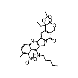 CCCCCNc1c2c(nc3ccc(C)c([N+](=O)[O-])c13)-c1cc3c(c(=O)n1C2)COC(=O)[C@@]3(CC)OC(C)=O